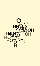 C[C@H](N)[C@H]1O[C@@H](OC2C(O)[C@H](NC(=O)c3ccccc3)CC(N)[C@H]2O[C@H]2OC(C(O)O)[C@@H](O)C(O)C2N)C(O)C1O